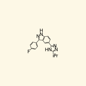 CC(C)c1nnc(-c2ccc3[nH]nc(-c4ccc(F)cc4)c3c2)[nH]1